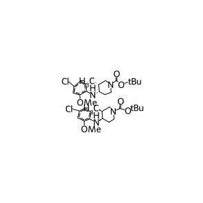 COc1cc(Cl)ccc1N[C@@H]1CCN(C(=O)OC(C)(C)C)C[C@@H]1C.COc1cc(Cl)ccc1N[C@H]1CCN(C(=O)OC(C)(C)C)C[C@H]1C